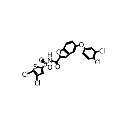 O=C(NS(=O)(=O)c1cc(Cl)c(Cl)s1)c1cc2cc(Oc3ccc(Cl)c(Cl)c3)ccc2o1